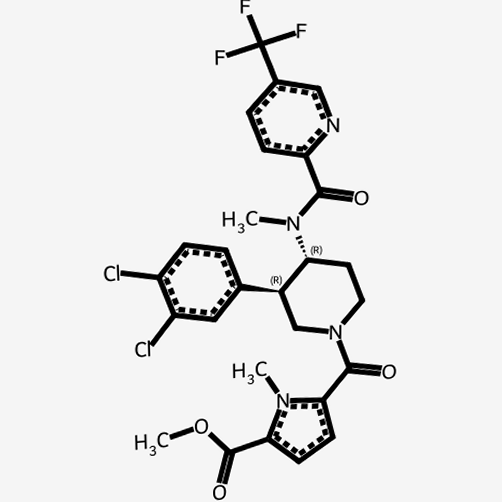 COC(=O)c1ccc(C(=O)N2CC[C@@H](N(C)C(=O)c3ccc(C(F)(F)F)cn3)[C@H](c3ccc(Cl)c(Cl)c3)C2)n1C